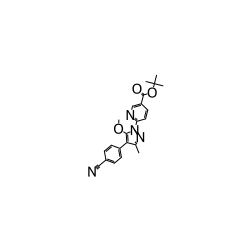 COc1c(-c2ccc(C#N)cc2)c(C)nn1-c1ccc(C(=O)OC(C)(C)C)cn1